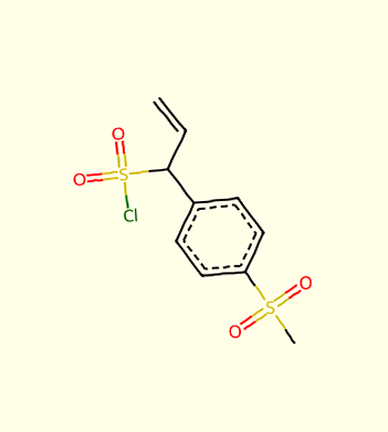 C=CC(c1ccc(S(C)(=O)=O)cc1)S(=O)(=O)Cl